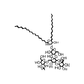 CCCCCCCCCCCCC/C=C/[C@@H](O)[C@H](CO[C@@H]1OC(CO)[C@@H](O[C@@H]2OC(CO[C@@H]3OC(CO)[C@@H](O)[C@H](O)C3NC(C)=O)[C@H](O)[C@H](O[C@H]3OC(CO)[C@H](O)[C@H](O)C3O)C2O)[C@H](O)C1O)NC(=O)CCCCCCCCCCCCCCCCCCC